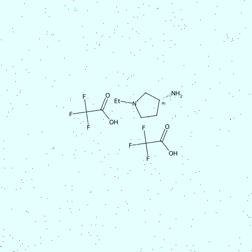 CCN1CC[C@@H](N)C1.O=C(O)C(F)(F)F.O=C(O)C(F)(F)F